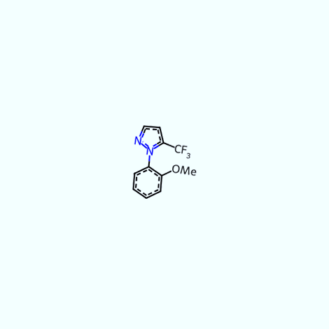 COc1ccccc1-n1nccc1C(F)(F)F